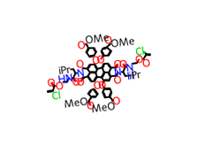 C=C(Cl)C(=O)OCCNC(=O)C(CC(C)C)N1C(=O)c2cc(Oc3ccc(C(=O)OC)cc3)c3c4c(Oc5ccc(C(=O)OC)cc5)cc5c6c(cc(Oc7ccc(C(=O)OC)cc7)c(c7c(Oc8ccc(C(=O)OC)cc8)cc(c2c37)C1=O)c64)C(=O)N(C(CC(C)C)C(=O)NCCOC(=O)C(=C)Cl)C5=O